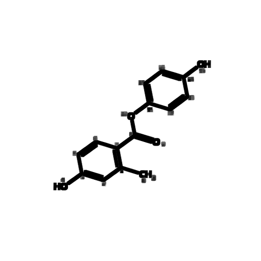 Cc1cc(O)ccc1C(=O)Oc1ccc(O)cc1